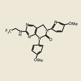 COc1ccc(N2C(=O)N(c3ccc(OC)cn3)Cc3cnc(NCC(F)(F)F)nc32)cc1